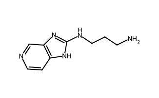 NCCCNc1nc2cnccc2[nH]1